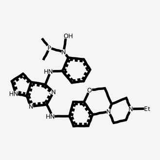 CCN1CCN2c3ccc(Nc4nc(Nc5ccccc5N(O)P(C)C)c5cc[nH]c5n4)cc3OCC2C1